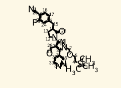 C[Si](C)(C)CCOCn1nc(N2CCC(Cc3ccc(C#N)c(F)c3)C2=O)c(C=O)c1-c1ccnnc1